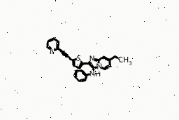 CCc1ccn2c(Nc3ccccc3)c(-c3ccc(C#Cc4ccccn4)s3)nc2c1